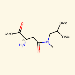 COC(=O)[C@@H](N)CC(=O)N(C)CC(OC)OC